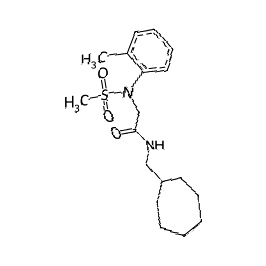 Cc1ccccc1N(CC(=O)NCC1CCCCCC1)S(C)(=O)=O